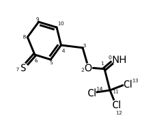 N=C(OCC1=CC(=S)CC=C1)C(Cl)(Cl)Cl